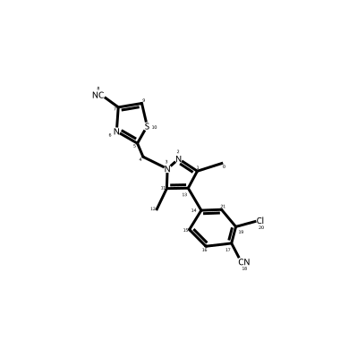 Cc1nn(Cc2nc(C#N)cs2)c(C)c1-c1ccc(C#N)c(Cl)c1